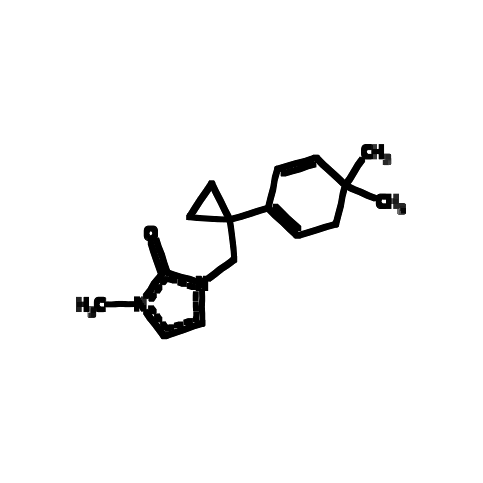 Cn1ccn(CC2(C3=CCC(C)(C)C=C3)CC2)c1=O